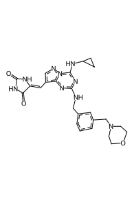 O=C1NC(=O)/C(=C/c2cnn3c(NC4CC4)nc(NCc4cccc(CN5CCOCC5)c4)nc23)N1